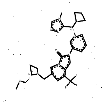 COC[C@@H]1CCN1Cc1cc(C(F)(F)F)c2cn(-c3cccc([C@H](c4nncn4C)C4CCC4)c3)c(=O)n2c1